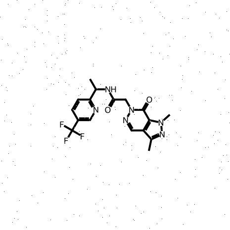 Cc1nn(C)c2c(=O)n(CC(=O)NC(C)c3ccc(C(F)(F)F)cn3)ncc12